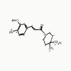 COc1cc(C=CC(=O)N2CCC(C)(C(=O)O)CC2)ccc1O